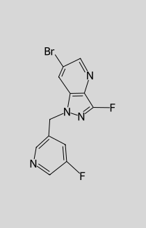 Fc1cncc(Cn2nc(F)c3ncc(Br)cc32)c1